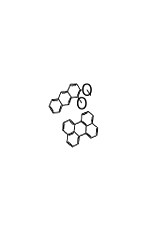 COc1ccc2cc3ccccc3cc2c1OC.c1cc2cccc3c4cccc5cccc(c(c1)c23)c54